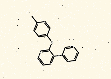 Cc1ccc(Oc2ccccc2-c2ccccc2)cc1